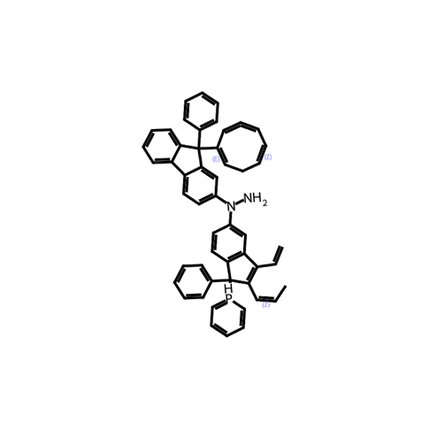 C=CC1=C(/C=C\C)C(c2ccccc2)([PH]2=CC=CC=C2)c2ccc(N(N)c3ccc4c(c3)C(/C3=C/C/C=C\C=C=C3)(c3ccccc3)c3ccccc3-4)cc21